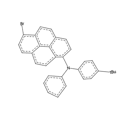 CC(C)(C)c1ccc(N(c2ccccc2)c2ccc3ccc4c(Br)ccc5ccc2c3c54)cc1